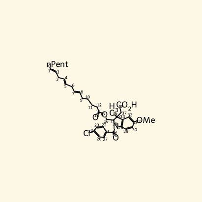 CCCCCC=CCC=CCC=CCCCCC(=O)OCC1N(C(=O)c2ccc(Cl)cc2)c2ccc(OC)cc2C1(C)CC(=O)O